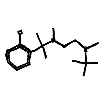 CN(CCN(C)C(C)(C)c1ccccc1Cl)C(C)(C)C